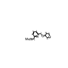 CNCc1cccc(COC2CCOC2)n1